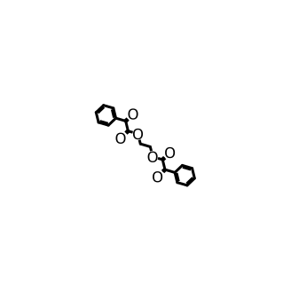 O=C(OCCOC(=O)C(=O)c1ccccc1)C(=O)c1ccccc1